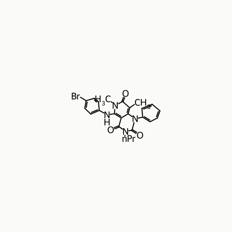 CCCn1c(=O)c2c(Nc3ccc(Br)cc3)n(C)c(=O)c(C)c2n(-c2ccccc2)c1=O